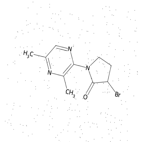 Cc1cnc(N2CCC(Br)C2=O)c(C)n1